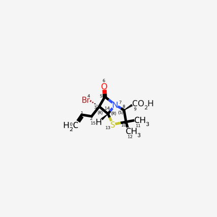 C=CC[C@@]1(Br)C(=O)N2[C@@H](C(=O)O)C(C)(C)S[C@@H]21